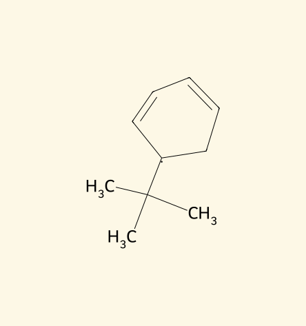 CC(C)(C)[C]1C=CC=CC1